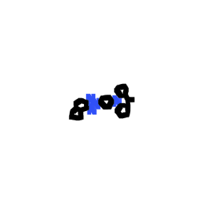 C=C1c2ccccc2N(c2ccc(-n3nc4ccc5ccccc5c4n3)cc2)c2ccccc21